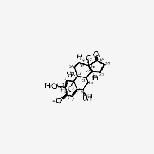 C[C@]12C=C(O)C(=O)C=C1[C@H](O)CC1[C@@H]2CC[C@]2(C)C(=O)CC[C@@H]12